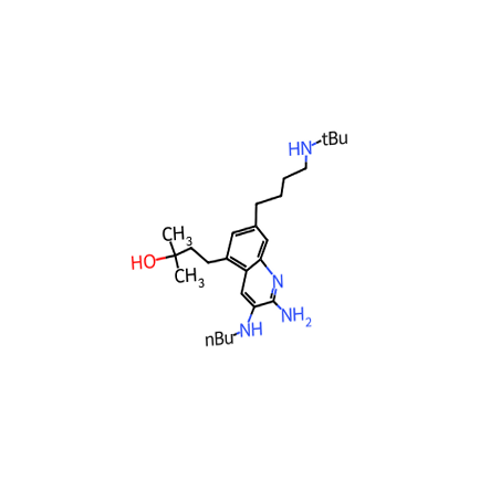 CCCCNc1cc2c(CCC(C)(C)O)cc(CCCCNC(C)(C)C)cc2nc1N